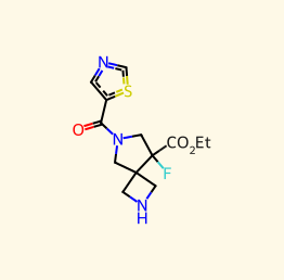 CCOC(=O)C1(F)CN(C(=O)c2cncs2)CC12CNC2